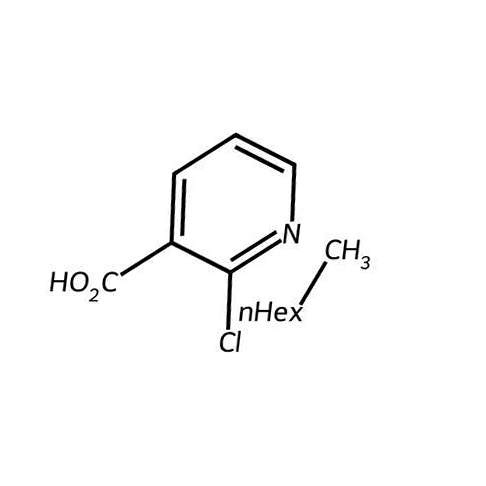 CCCCCCC.O=C(O)c1cccnc1Cl